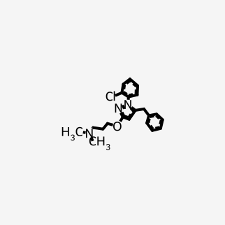 CN(C)CCCOc1cc(Cc2ccccc2)n(-c2ccccc2Cl)n1